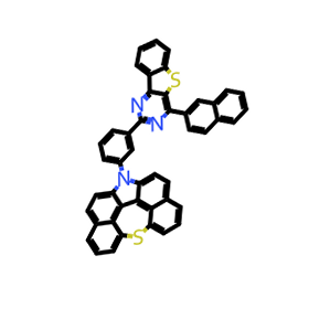 c1cc(-c2nc(-c3ccc4ccccc4c3)c3sc4ccccc4c3n2)cc(-n2c3ccc4cccc5sc6cccc7ccc2c(c76)c3c45)c1